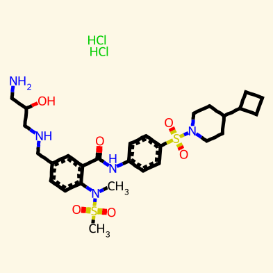 CN(c1ccc(CNCC(O)CN)cc1C(=O)Nc1ccc(S(=O)(=O)N2CCC(C3CCC3)CC2)cc1)S(C)(=O)=O.Cl.Cl